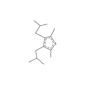 Cc1sc(C)c(CC(C)C)c1CC(C)C